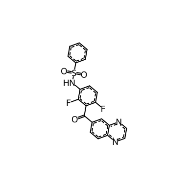 O=C(c1ccc2nccnc2c1)c1c(F)ccc(NS(=O)(=O)c2ccccc2)c1F